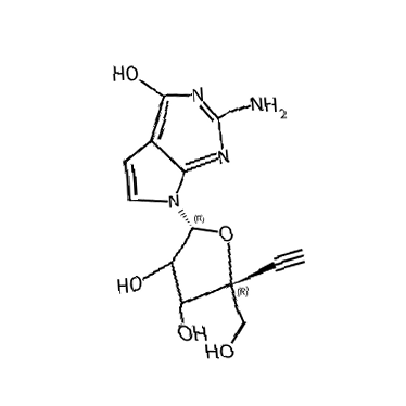 C#C[C@]1(CO)O[C@@H](n2ccc3c(O)nc(N)nc32)C(O)C1O